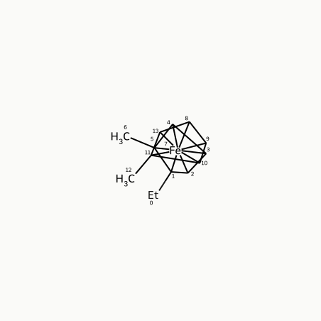 CC[C]12[CH]3[CH]4[CH]5[C]1(C)[Fe]45321678[CH]2[CH]1[CH]6[C]7(C)[CH]28